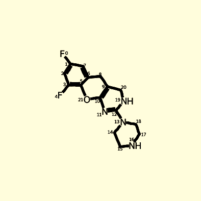 Fc1cc(F)c2c(c1)CC1=C(N=C(N3CCNCC3)NC1)O2